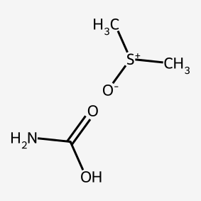 C[S+](C)[O-].NC(=O)O